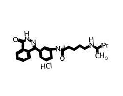 CC(C)C(C)NCCCCC(=O)Nc1cccc(-c2n[nH]c(=O)c3ccccc23)c1.Cl